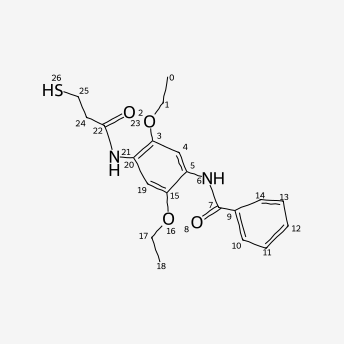 CCOc1cc(NC(=O)c2ccccc2)c(OCC)cc1NC(=O)CCS